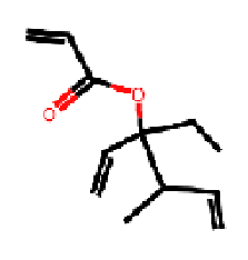 C=CC(=O)OC(C=C)(CC)C(C)C=C